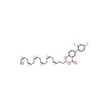 CC/C=C\C/C=C\C/C=C\C/C=C\C/C=C\C/C=C\CCC1OC(=O)c2cc(-c3ccc(F)cc3F)ccc2O1